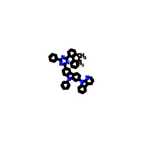 Cc1ccccc1-c1c(C)cccc1-c1nc(-c2ccccc2)nc(-c2ccc3c(c2)c2ccc(-n4c5ccccc5c5cccnc54)cc2n3-c2ccccc2)n1